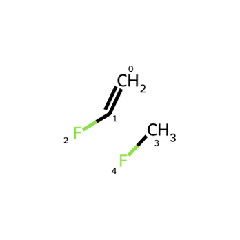 C=CF.CF